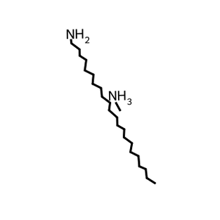 CC.CCCCCCCCCCCCCCCCCCCCCCN.N